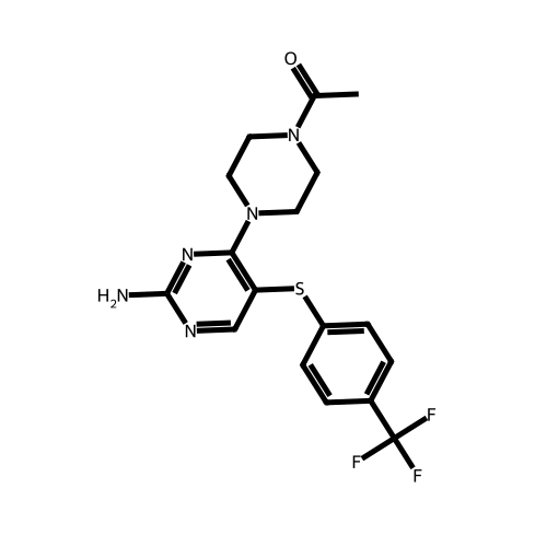 CC(=O)N1CCN(c2nc(N)ncc2Sc2ccc(C(F)(F)F)cc2)CC1